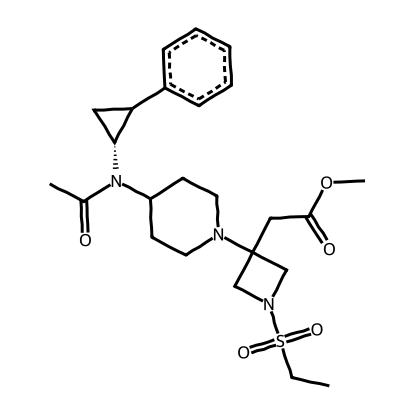 CCS(=O)(=O)N1CC(CC(=O)OC)(N2CCC(N(C(C)=O)[C@@H]3CC3c3ccccc3)CC2)C1